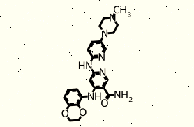 CN1CCN(c2ccc(Nc3cc(Nc4cccc5c4OCCO5)c(C(N)=O)cn3)nc2)CC1